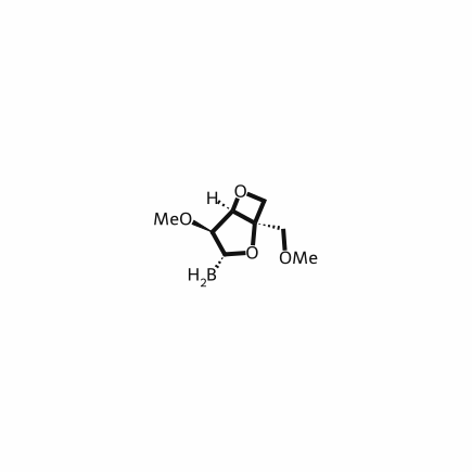 B[C@H]1O[C@]2(COC)CO[C@@H]2[C@@H]1OC